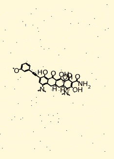 COc1cccc(C#Cc2cc(N(C)C)c3c(c2O)C(=O)C2=C(O)[C@]4(O)C(=O)C(C(N)=O)=C(O)[C@H](N(C)C)[C@H]4C[C@H]2C3)c1